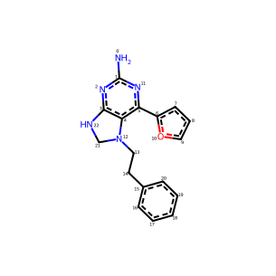 Nc1nc2c(c(-c3ccco3)n1)N(CCc1ccccc1)CN2